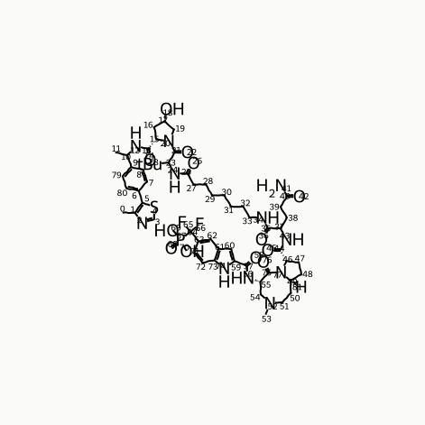 Cc1ncsc1-c1ccc(C(C)NC(=O)[C@@H]2C[C@@H](O)CN2C(=O)C(NC(=O)CCCCCCCNC(=O)C(CCC(N)=O)NC(=O)[C@@H]2CC[C@@H]3CCN(C)C[C@H](NC(=O)c4cc5cc(C(F)(F)P(=O)(O)O)ccc5[nH]4)C(=O)N32)C(C)(C)C)cc1